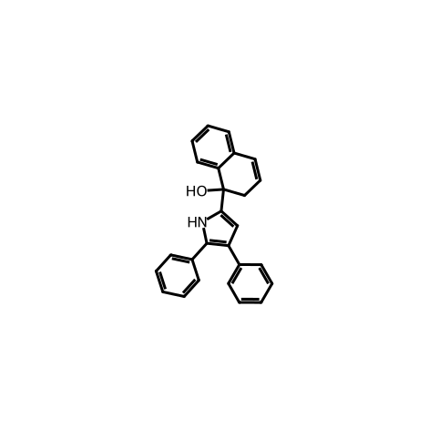 OC1(c2cc(-c3ccccc3)c(-c3ccccc3)[nH]2)CC=Cc2ccccc21